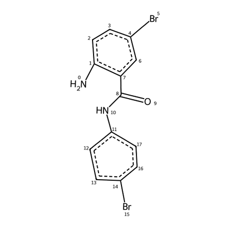 Nc1ccc(Br)cc1C(=O)Nc1ccc(Br)cc1